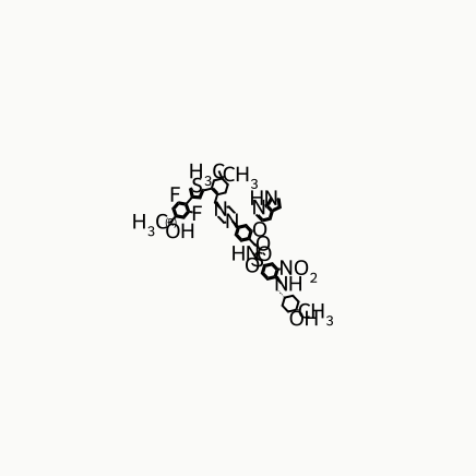 C[C@@H](O)c1cc(F)c(-c2csc(C3=C(CN4CCN(c5ccc(C(=O)NS(=O)(=O)c6ccc(NC[C@H]7CC[C@](C)(O)CC7)c([N+](=O)[O-])c6)c(Oc6cnc7[nH]ccc7c6)c5)CC4)CCC(C)(C)C3)c2)c(F)c1